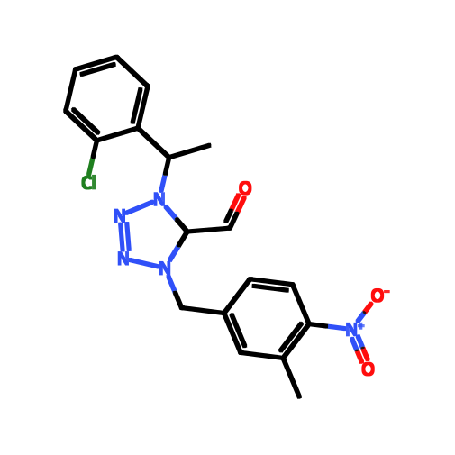 Cc1cc(CN2N=NN(C(C)c3ccccc3Cl)C2C=O)ccc1[N+](=O)[O-]